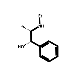 CCN[C@@H](C)[C@@H](O)c1ccccc1